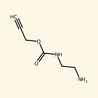 C#CCOC(=O)NCCN